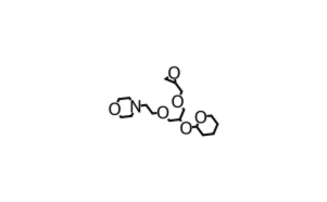 C1CCC(OC(COCCN2CCOCC2)COCC2CO2)OC1